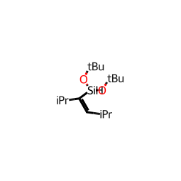 CC(C)C=C(C(C)C)[SiH](OC(C)(C)C)OC(C)(C)C